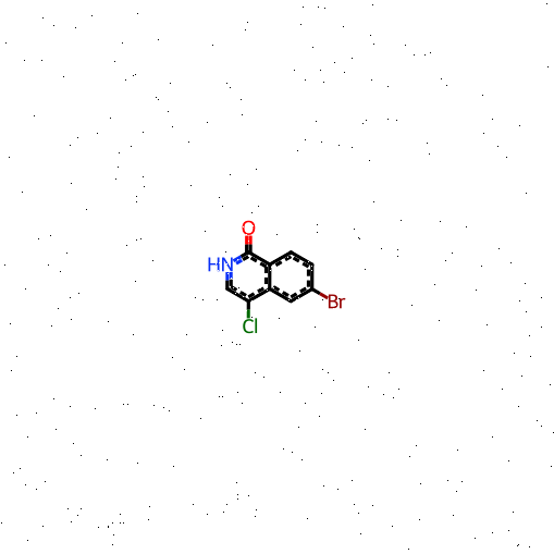 O=c1[nH]cc(Cl)c2cc(Br)ccc12